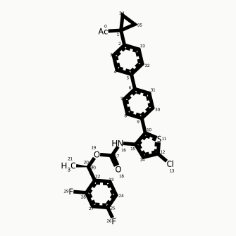 CC(=O)C1(c2ccc(-c3ccc(-c4sc(Cl)cc4NC(=O)O[C@H](C)c4ccc(F)cc4F)cc3)cc2)CC1